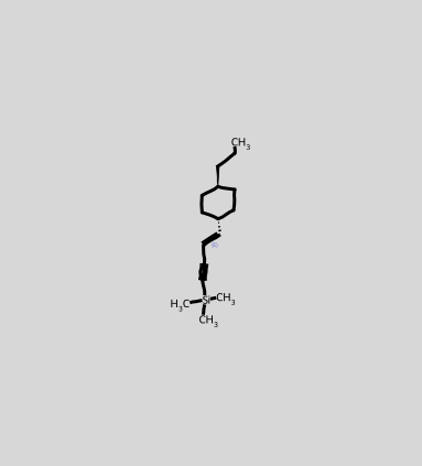 CCC[C@H]1CC[C@H](/C=C/C#C[Si](C)(C)C)CC1